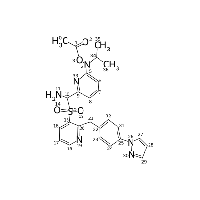 CC(=O)ON(c1cccc(C(N)S(=O)(=O)c2cccnc2Cc2ccc(-n3cccn3)cc2)n1)C(C)C